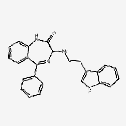 O=C1Nc2ccccc2C(c2ccccc2)=NC1NCCc1c[nH]c2ccccc12